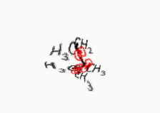 C=C(C)C(=O)OCCC[Si](OCC)(OC(C)=O)OC(C)=O